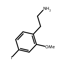 COc1cc(I)ccc1CCN